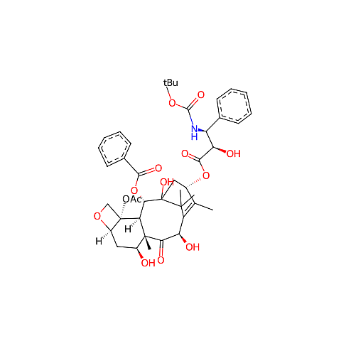 CC(=O)O[C@@]12CO[C@@H]1C[C@H](O)[C@@]1(C)C(=O)[C@H](O)C3=C(C)[C@@H](OC(=O)[C@H](O)[C@@H](NC(=O)OC(C)(C)C)c4ccccc4)CC(O)([C@@H](OC(=O)c4ccccc4)[C@H]21)C3(C)C